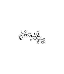 CC(C(=O)NC1CCN(c2c(F)cc3c(=O)c(C(=O)O)cn(C4CC4)c3c2Cl)C1)n1cncn1